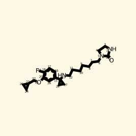 O=C1NCCN1CCCCCCCNC1(c2ccc(F)c(OCC3CC3)c2)CC1